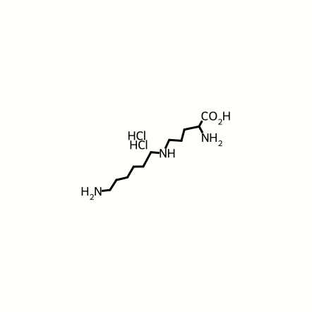 Cl.Cl.NCCCCCCNCCCC(N)C(=O)O